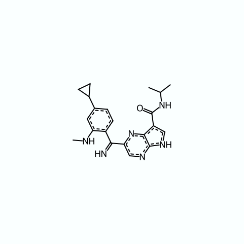 CNc1cc(C2CC2)ccc1C(=N)c1cnc2[nH]cc(C(=O)NC(C)C)c2n1